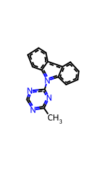 Cc1ncnc(-n2c3ccccc3c3ccccc32)n1